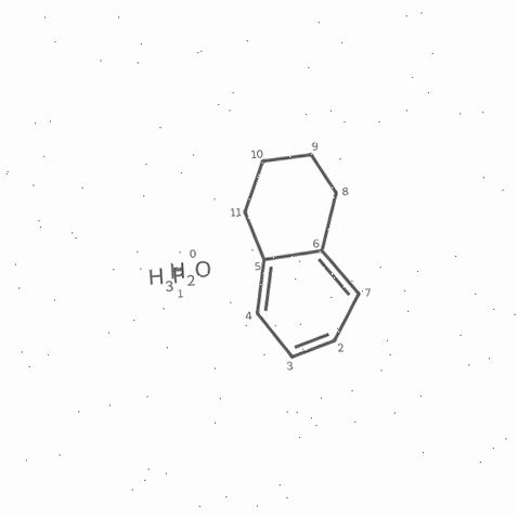 O.P.c1ccc2c(c1)CCCC2